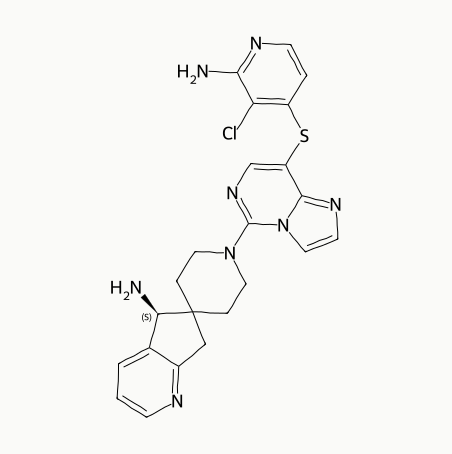 Nc1nccc(Sc2cnc(N3CCC4(CC3)Cc3ncccc3[C@H]4N)n3ccnc23)c1Cl